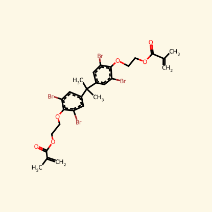 C=C(C)C(=O)OCCOc1c(Br)cc(C(C)(C)c2cc(Br)c(OCCOC(=O)C(=C)C)c(Br)c2)cc1Br